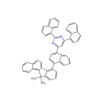 CC1(C)c2cccc(-c3ccc(-c4cc(-c5cccc6ccccc56)nc(-c5cccc6ccccc56)n4)c4ccccc34)c2-c2ccc3ccccc3c21